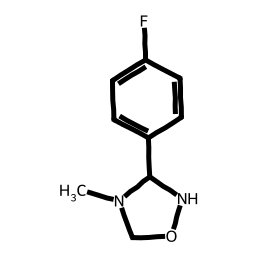 CN1CONC1c1ccc(F)cc1